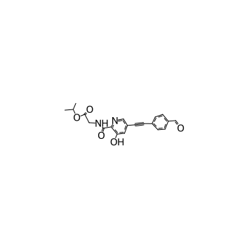 CC(C)OC(=O)CNC(=O)c1ncc(C#Cc2ccc(C=O)cc2)cc1O